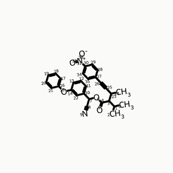 CC(C)C(C(=O)OC(C#N)c1cccc(Oc2ccccc2)c1)C(C)C#Cc1ccc([N+](=O)[O-])cc1